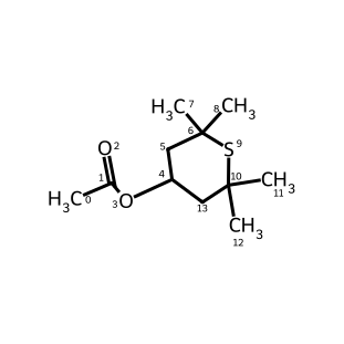 CC(=O)OC1CC(C)(C)SC(C)(C)C1